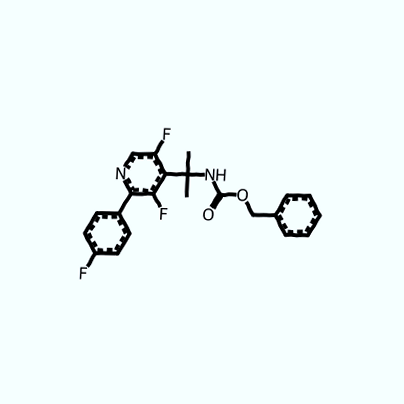 CC(C)(NC(=O)OCc1ccccc1)c1c(F)cnc(-c2ccc(F)cc2)c1F